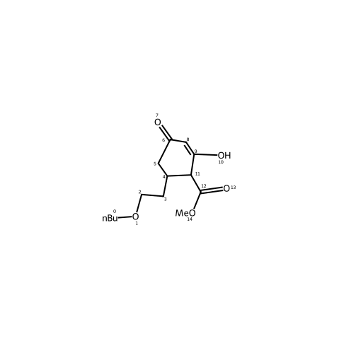 CCCCOCCC1CC(=O)C=C(O)C1C(=O)OC